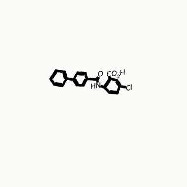 O=C(Nc1ccc(Cl)cc1C(=O)O)c1ccc(-c2ccccc2)cc1